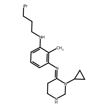 Cc1c(N=C2CCNCN2C2CC2)cccc1NCCCC(C)C